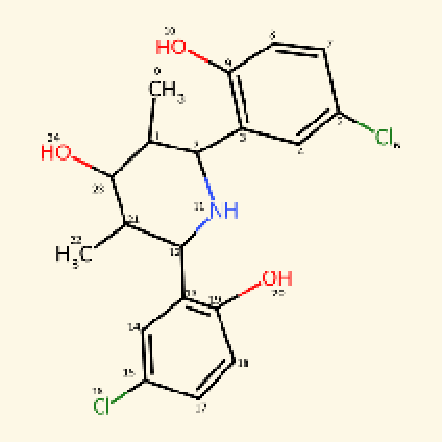 CC1C(c2cc(Cl)ccc2O)NC(c2cc(Cl)ccc2O)C(C)C1O